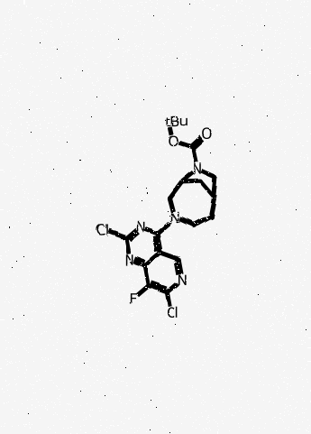 CC(C)(C)OC(=O)N1CC2CCN(c3nc(Cl)nc4c(F)c(Cl)ncc34)CC1C2